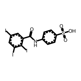 O=C(Nc1ccc(S(=O)(=O)O)cc1)c1cc(I)cc(I)c1I